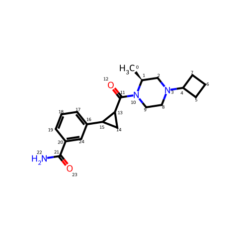 C[C@H]1CN(C2CCC2)CCN1C(=O)C1CC1c1cccc(C(N)=O)c1